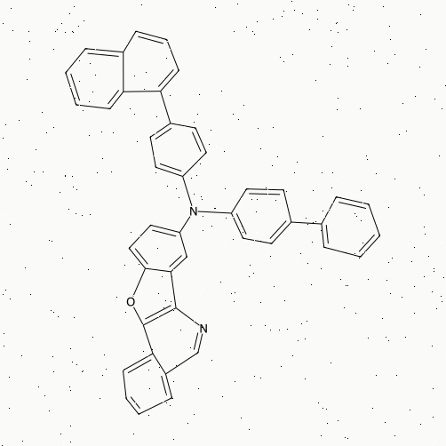 c1ccc(-c2ccc(N(c3ccc(-c4cccc5ccccc45)cc3)c3ccc4oc5c6ccccc6cnc5c4c3)cc2)cc1